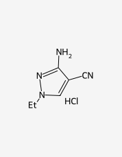 CCn1cc(C#N)c(N)n1.Cl